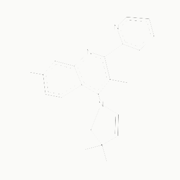 Cc1c(-c2ccccn2)nc2cc(F)ccc2c1N1C=CC(C)(C)C1